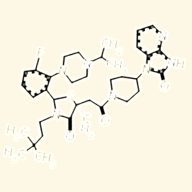 CC(C)N1CCN(c2c(F)cccc2C2S[C@@](C)(CC(=O)N3CCC(n4c(=O)[nH]c5ncccc54)CC3)C(=O)N2CCC(C)(C)C)CC1